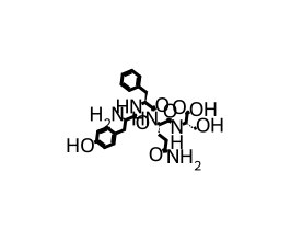 NC(=O)CC[C@H](NC(=O)[C@H](Cc1ccccc1)NC(=O)[C@@H](N)Cc1ccc(O)cc1)C(=O)N[C@@H](CO)C(=O)O